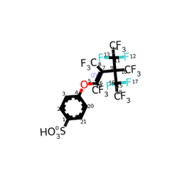 O=S(=O)(O)c1ccc(O/C(=C(\C(F)(F)F)C(C(F)(F)F)(C(F)(F)C(F)(F)F)C(F)(F)C(F)(F)F)C(F)(F)F)cc1